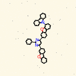 c1ccc(-c2nc(-c3ccc4c(c3)oc3ccccc34)cc(-c3ccc4c(c3)oc3c(-n5c6ccccc6c6ccccc65)cccc34)n2)cc1